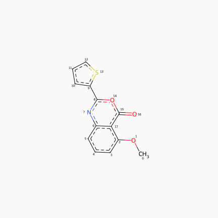 COc1cccc2nc(-c3cccs3)oc(=O)c12